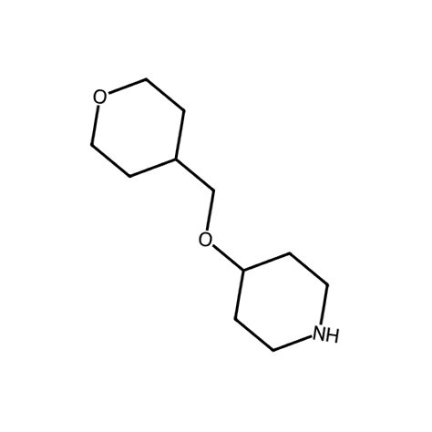 C1CC(OCC2CCOCC2)CCN1